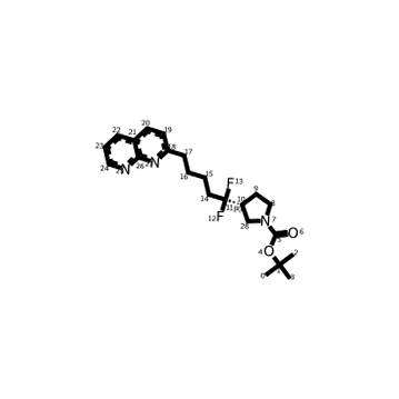 CC(C)(C)OC(=O)N1CC[C@@H](C(F)(F)CCCCc2ccc3cccnc3n2)C1